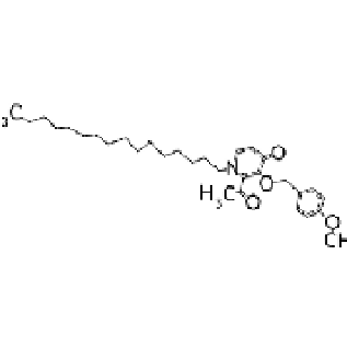 CCCCCCCCCCCCCCCCn1ccc(=O)c(OCc2ccc(OC)cc2)c1C(C)=O